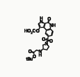 CC(C)(C)OC(=O)CNC1CCN(S(=O)(=O)c2ccc3[nH]c(=O)c4[nH]cc(OC(=O)O)c4c3c2)C1